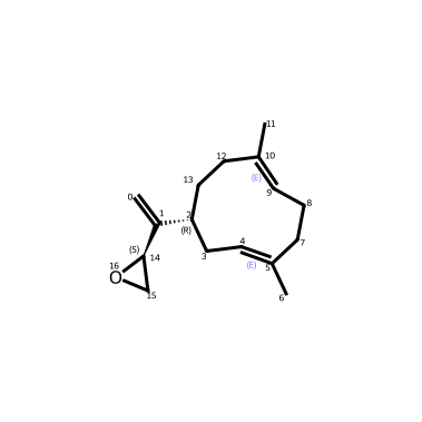 C=C([C@H]1C/C=C(\C)CC/C=C(\C)CC1)[C@H]1CO1